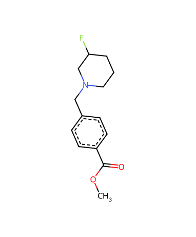 COC(=O)c1ccc(CN2CCCC(F)C2)cc1